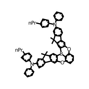 CCCc1ccc(N(c2ccccc2)c2ccc3c(c2)C(C)(C)c2cc4c(cc2-3)Oc2cccc3c2B4c2cc4c(cc2O3)-c2ccc(N(c3ccccc3)c3ccc(CCC)cc3)cc2C4(C)C)cc1